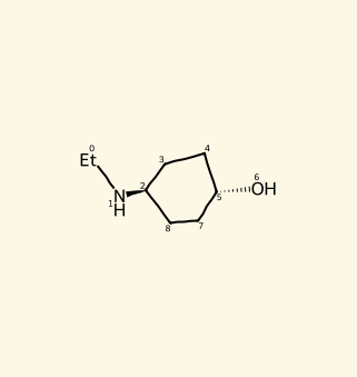 CCN[C@H]1CC[C@H](O)CC1